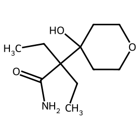 CCC(CC)(C(N)=O)C1(O)CCOCC1